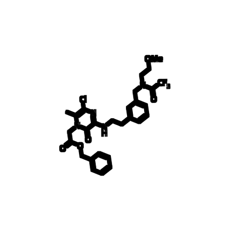 COCCN(Cc1cccc(CCNc2nc(Cl)c(C)n(CC(=O)OCc3ccccc3)c2=O)c1)C(=O)C(F)(F)F